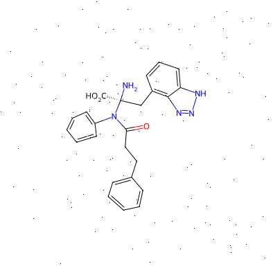 N[C@](Cc1cccc2[nH]nnc12)(C(=O)O)N(C(=O)CCc1ccccc1)c1ccccc1